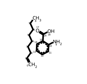 C=CCCCCCCC.Nc1ccccc1C(=O)O